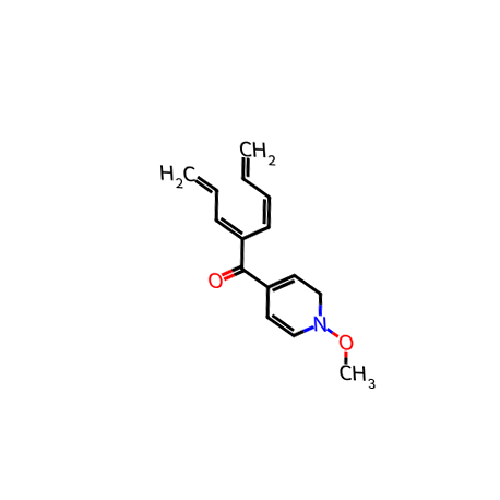 C=C/C=C\C(=C/C=C)C(=O)C1=CCN(OC)C=C1